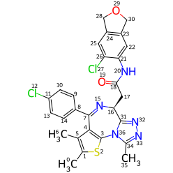 Cc1sc2c(c1C)C(c1ccc(Cl)cc1)=N[C@@H](CC(=O)Nc1cc3c(cc1Cl)COC3)c1nnc(C)n1-2